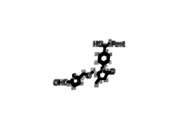 CCCCCC(O)c1ccc(N2C(=O)CC(C)[C@@H]2COCc2ccc(C=O)s2)cc1